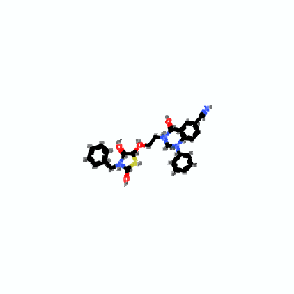 N#Cc1ccc2c(c1)C(=O)N(CCOC1SC(=O)N(Cc3ccccc3)C1=O)CN2c1ccccc1